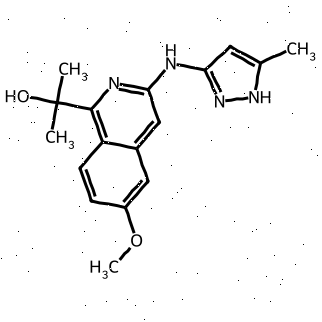 COc1ccc2c(C(C)(C)O)nc(Nc3cc(C)[nH]n3)cc2c1